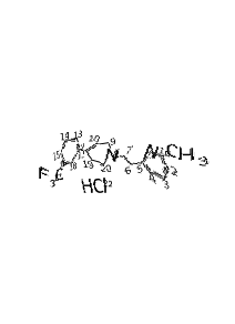 Cc1cccc(CCN2CC=C(c3cccc(C(F)(F)F)c3)CC2)n1.Cl